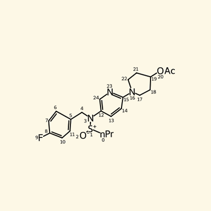 CCC[S+]([O-])N(Cc1ccc(F)cc1)c1ccc(N2CCC(OC(C)=O)CC2)nc1